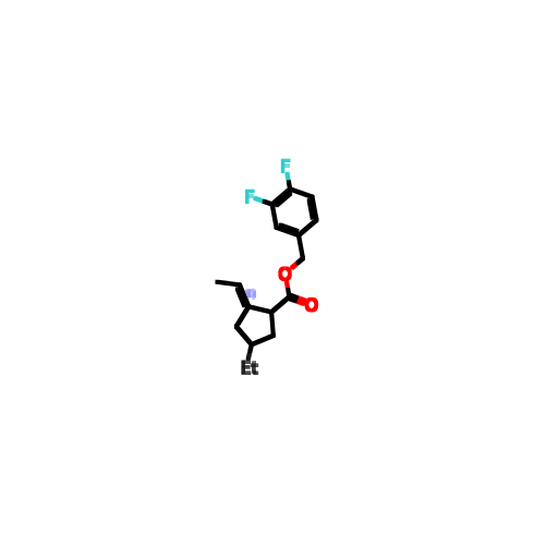 C/C=C1\CC(CC)CC1C(=O)OCc1ccc(F)c(F)c1